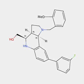 COc1ccccc1CN1CC[C@@H]2[C@H](CO)Nc3ccc(-c4cccc(F)c4)cc3[C@@H]21